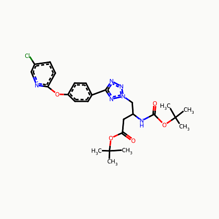 CC(C)(C)OC(=O)CC(Cn1nnc(-c2ccc(Oc3ccc(Cl)cn3)cc2)n1)NC(=O)OC(C)(C)C